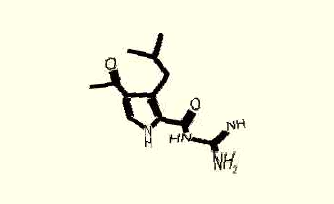 CC(=O)c1c[nH]c(C(=O)NC(=N)N)c1CC(C)C